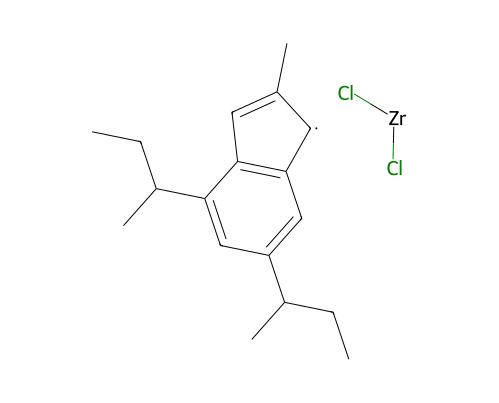 CCC(C)c1cc2c(c(C(C)CC)c1)C=C(C)[CH]2.[Cl][Zr][Cl]